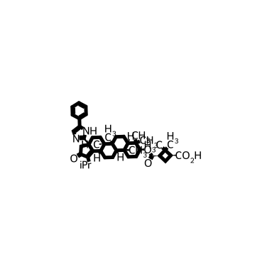 CC(C)C1=C2[C@H]3CC[C@@H]4[C@@]5(C)CC[C@H](OC(=O)[C@H]6C[C@@H](C(=O)O)C6(C)C)C(C)(C)[C@@H]5CC[C@@]4(C)[C@]3(C)CC[C@@]2(c2ncc(-c3ccccc3)[nH]2)CC1=O